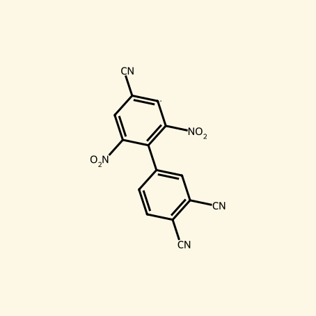 N#Cc1[c]c([N+](=O)[O-])c(-c2ccc(C#N)c(C#N)c2)c([N+](=O)[O-])c1